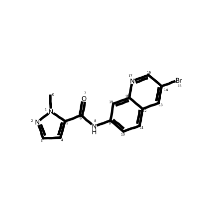 Cn1nccc1C(=O)Nc1ccc2cc(Br)cnc2c1